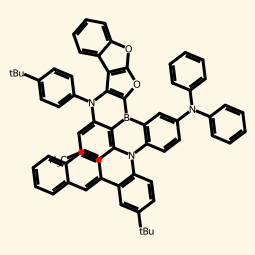 Cc1cc2c3c(c1)N(c1ccc(C(C)(C)C)cc1)c1c(oc4oc5ccccc5c14)B3c1cc(N(c3ccccc3)c3ccccc3)ccc1N2c1ccc(C(C)(C)C)cc1-c1ccc2ccccc2c1